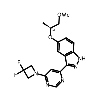 COC[C@H](C)Oc1ccc2[nH]nc(-c3cc(N4CC(F)(F)C4)ncn3)c2c1